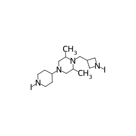 CC1CN(C2CCN(I)CC2)CC(C)N1CC1CN(I)C1